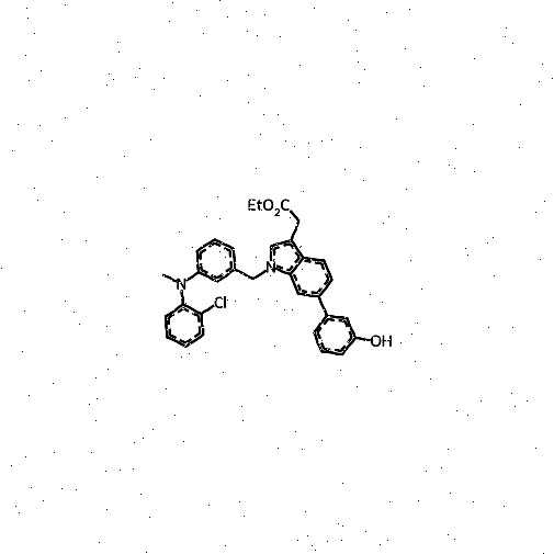 CCOC(=O)Cc1cn(Cc2cccc(N(C)c3ccccc3Cl)c2)c2cc(-c3cccc(O)c3)ccc12